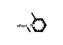 CCCCCC.Cc1ccccn1